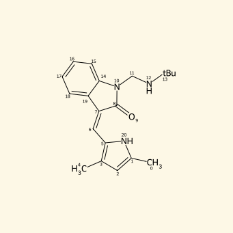 Cc1cc(C)c(/C=C2\C(=O)N(CNC(C)(C)C)c3ccccc32)[nH]1